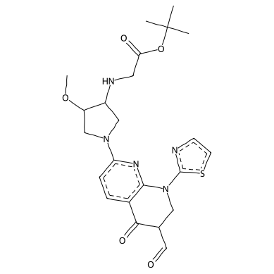 COC1CN(c2ccc3c(n2)N(c2nccs2)CC(C=O)C3=O)CC1NCC(=O)OC(C)(C)C